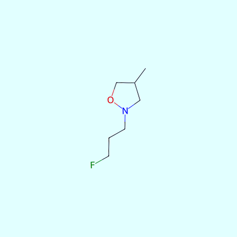 CC1CON(CCCF)C1